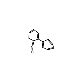 O=C=C1CC=CC=C1c1ccccc1